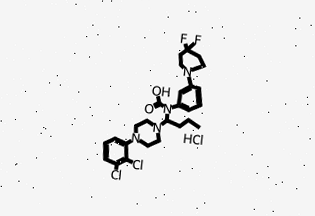 CCCC(N1CCN(c2cccc(Cl)c2Cl)CC1)N(C(=O)O)c1cccc(N2CCC(F)(F)CC2)c1.Cl